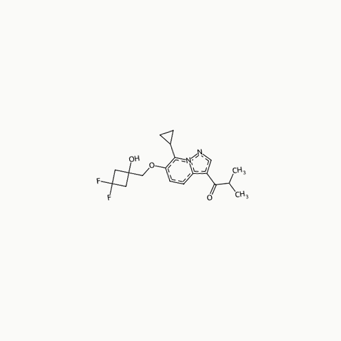 CC(C)C(=O)c1cnn2c(C3CC3)c(OCC3(O)CC(F)(F)C3)ccc12